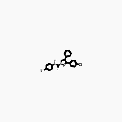 O=C(Nc1ccc(Br)cc1)N1CC(c2ccccc2)C(c2ccc(Cl)cc2)=N1